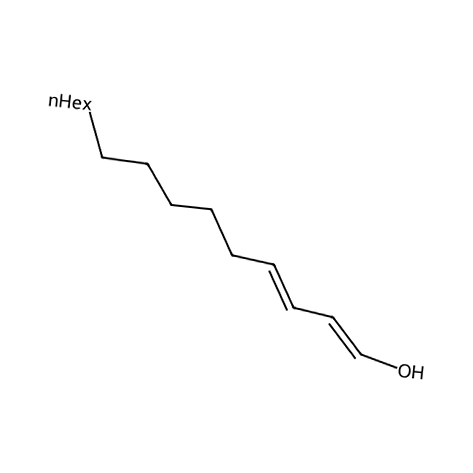 CCCCCCCCCCC/C=C/C=C/O